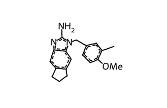 COc1ccc(Cn2c(N)nc3cc4c(cc32)CCC4)cc1C